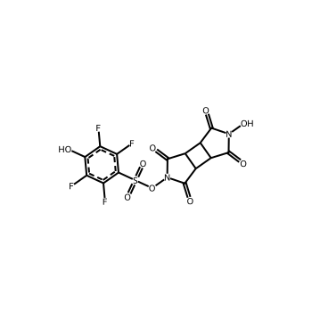 O=C1C2C(C(=O)N1O)C1C(=O)N(OS(=O)(=O)c3c(F)c(F)c(O)c(F)c3F)C(=O)C21